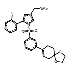 CNCc1cc(-c2ccccc2F)n(S(=O)(=O)c2cccc(C3=CCC4(CC3)OCCO4)c2)c1